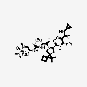 CCC[C@H](NC(=O)[C@@H]1C[C@@]2(CN1C(=O)[C@@H](NC(=O)N[C@H](CN(C)S(=O)(=O)N(C)C)C(C)(C)C)C(C)(C)C)C(C)(C)C21CCC1)C(=O)C(=O)NC1CC1